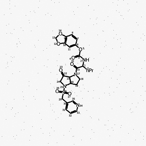 CCCC(NC(=O)Oc1ccc2c(c1)OCO2)C(=O)N1CCC2C1C(=O)CN2S(=O)(=O)Cc1cccnc1